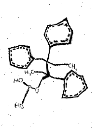 CC(OP(O)O)(c1ccccc1)C(C)(c1ccccc1)c1ccccc1